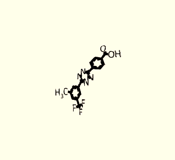 Cc1cc(-c2nnc(-c3ccc(C(=O)O)cc3)nn2)cc(C(F)(F)F)c1